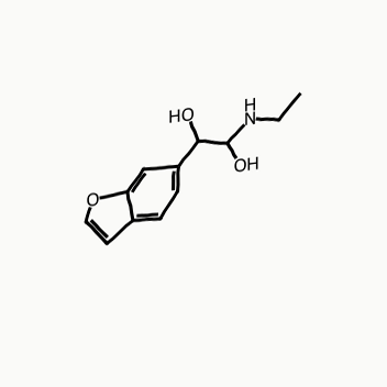 CCNC(O)C(O)c1ccc2ccoc2c1